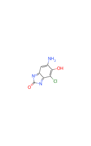 Nc1cc2c(c(Cl)c1O)=NC(=O)N=2